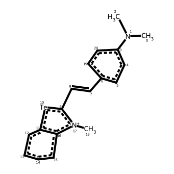 CN(C)c1ccc(/C=C/c2[te]c3ccccc3[n+]2C)cc1